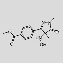 COC(=O)c1ccc(C2=NN(C)C(=O)C2(C)NO)cc1